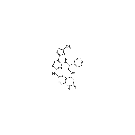 Cc1cnc(-c2cnc(Nc3ccc4c(c3)CCC(=O)N4)nc2N[C@H](CO)c2ccccc2)o1